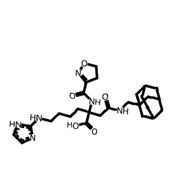 O=C(CC(CCCCNc1ncc[nH]1)(NC(=O)C1=NOCC1)C(=O)O)NCC12CC3CC(CC(C3)C1)C2